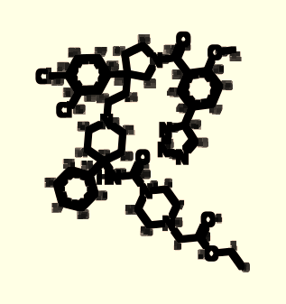 CCOC(=O)CN1CCN(C(=O)NC2(c3ccccc3)CCN(CCC3(c4ccc(Cl)c(Cl)c4)CCN(C(=O)c4cc(C5C=NN=N5)ccc4OC)C3)CC2)CC1